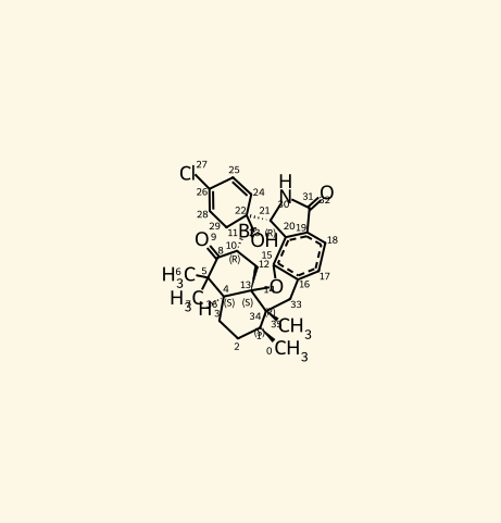 C[C@H]1CC[C@H]2C(C)(C)C(=O)[C@H](Br)C[C@]23Oc2c(ccc4c2[C@H](C2(O)C=CC(Cl)=CC2)NC4=O)C[C@]13C